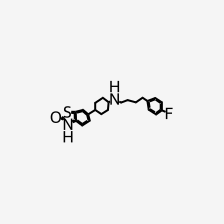 O=c1[nH]c2ccc(C3CCC(NCCCCc4ccc(F)cc4)CC3)cc2s1